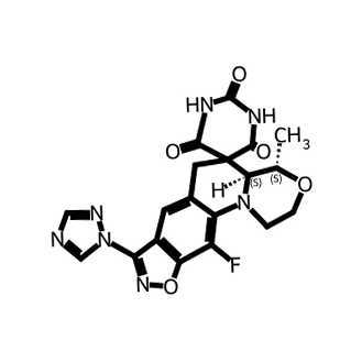 C[C@@H]1OCCN2c3c(cc4c(-n5cncn5)noc4c3F)CC3(C(=O)NC(=O)NC3=O)[C@@H]12